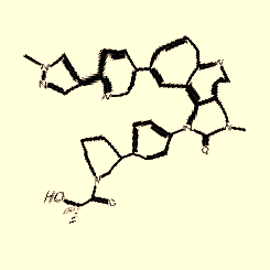 C[C@H](O)C(=O)N1CCCC(c2ccc(-n3c(=O)n(C)c4cnc5ccc(-c6ccc(-c7cnn(C)c7)nc6)cc5c43)cc2)C1